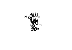 CC(C)(C)OC(=O)N1CCC(n2nc(-c3ccc(C(=O)c4ccc(F)cc4)cc3F)c3c(N)ncnc32)C1